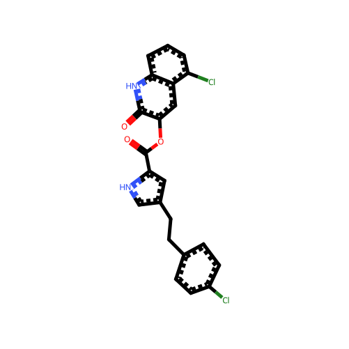 O=C(Oc1cc2c(Cl)cccc2[nH]c1=O)c1cc(CCc2ccc(Cl)cc2)c[nH]1